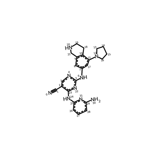 N#Cc1cnc(Nc2cc3c(c(N4CCCC4)c2)CCNC3)nc1Nc1cccc(N)n1